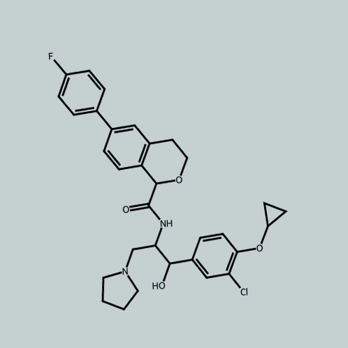 O=C(NC(CN1CCCC1)C(O)c1ccc(OC2CC2)c(Cl)c1)C1OCCc2cc(-c3ccc(F)cc3)ccc21